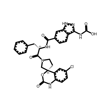 O=C(O)Nc1n[nH]c2cc(C(=O)N[C@@H](Cc3ccccc3)C(=O)N3CC[C@@]4(C3)OC(=O)Nc3ccc(Cl)cc34)ccc12